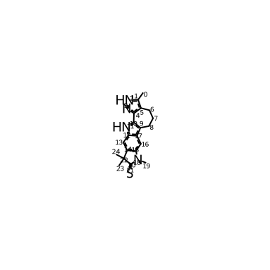 Cc1[nH]nc2c1CCCc1c-2[nH]c2cc3c(cc12)N(C)C(=S)C3(C)C